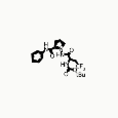 CC(C)(C)OC(=O)NC(CC(F)(F)F)C(=O)Nn1cccc1C(=O)Nc1ccccc1